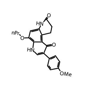 CCCOc1cc2c(c3c(=O)c(-c4ccc(OC)cc4)c[nH]c13)CCC(=O)N2